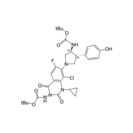 CC(C)(C)OC(=O)N[C@@H]1CN(c2c(F)cc3c(=O)n(NC(=O)OC(C)(C)C)c(=O)n(C4CC4)c3c2Cl)C[C@H]1c1ccc(O)cc1